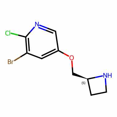 Clc1ncc(OC[C@@H]2CCN2)cc1Br